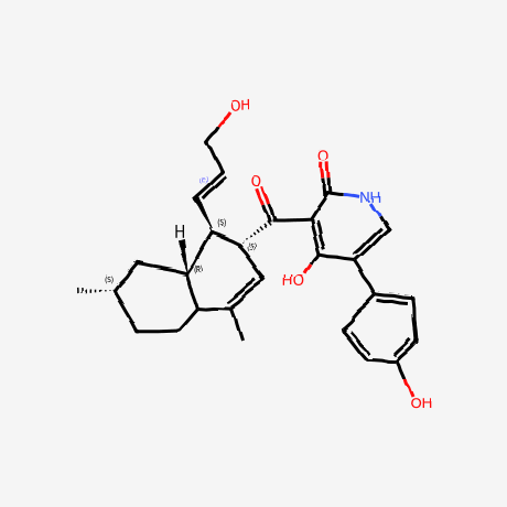 CC1=C[C@@H](C(=O)c2c(O)c(-c3ccc(O)cc3)c[nH]c2=O)[C@H](/C=C/CO)[C@H]2C[C@@H](C)CCC12